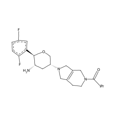 CC(C)C(=O)N1CCC2=C(C1)CN([C@H]1CO[C@H](c3cc(F)ccc3F)[C@@H](N)C1)C2